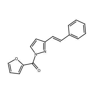 O=C(c1ccco1)n1ccc(C=Cc2ccccc2)n1